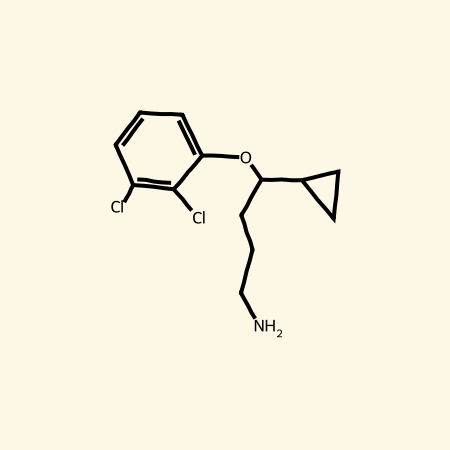 NCCCC(Oc1cccc(Cl)c1Cl)C1CC1